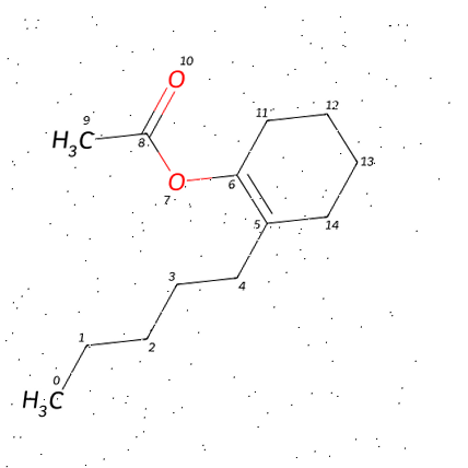 CCCCCC1=C(OC(C)=O)CCCC1